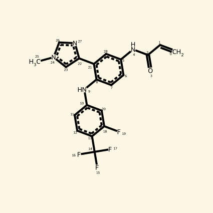 C=CC(=O)Nc1ccc(Nc2ccc(C(F)(F)F)c(F)c2)c(-c2cn(C)cn2)c1